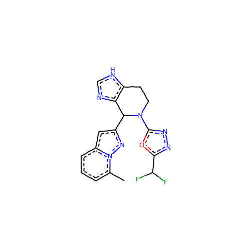 Cc1cccc2cc(C3c4nc[nH]c4CCN3c3nnc(C(F)F)o3)nn12